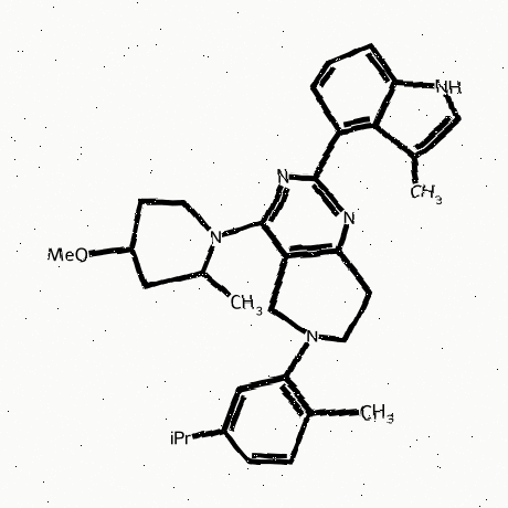 COC1CCN(c2nc(-c3cccc4[nH]cc(C)c34)nc3c2CN(c2cc(C(C)C)ccc2C)CC3)C(C)C1